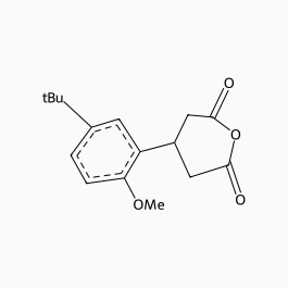 COc1ccc(C(C)(C)C)cc1C1CC(=O)OC(=O)C1